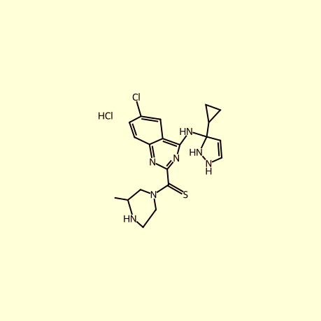 CC1CN(C(=S)c2nc(NC3(C4CC4)C=CNN3)c3cc(Cl)ccc3n2)CCN1.Cl